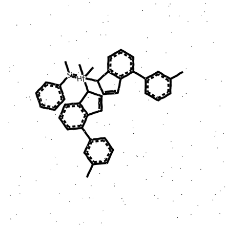 Cc1cccc(-c2cccc3c2C=C[CH]3[Hf]([CH3])([CH3])([CH]2C=Cc3c(-c4cccc(C)c4)cccc32)=[Si](C)c2ccccc2)c1